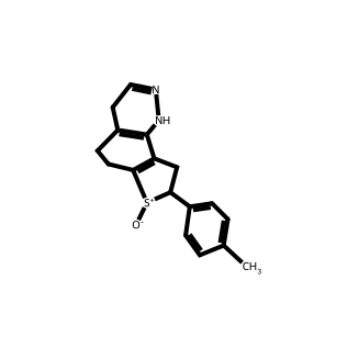 Cc1ccc(C2CC3=C(CCC4=C3NN=CC4)[S+]2[O-])cc1